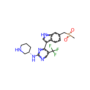 CS(=O)(=O)Cc1ccc2c(-c3nc(N[C@H]4CCCNC4)ncc3C(F)(F)F)c[nH]c2c1